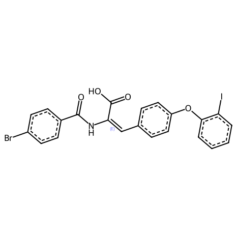 O=C(O)/C(=C\c1ccc(Oc2ccccc2I)cc1)NC(=O)c1ccc(Br)cc1